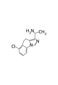 CC(N)c1ncn2c1CCc1c(Cl)cccc1-2